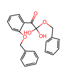 O=C(c1ccccc1OCc1ccccc1)C(O)(O)OCc1ccccc1